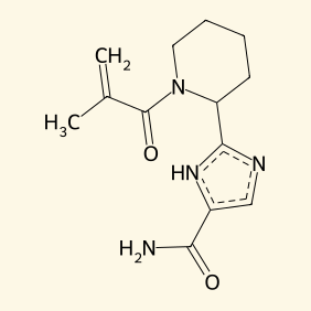 C=C(C)C(=O)N1CCCCC1c1ncc(C(N)=O)[nH]1